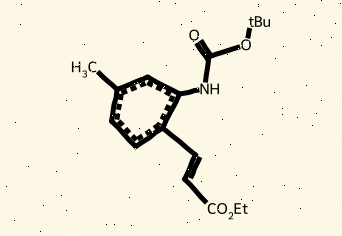 CCOC(=O)/C=C/c1ccc(C)cc1NC(=O)OC(C)(C)C